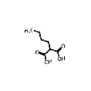 CCCC[C](C(=O)O)C(=O)O